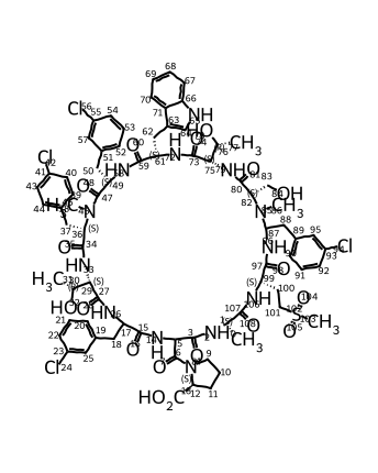 C[C@@H]1NC(=O)C(C(=O)N2CCC[C@H]2C(=O)O)NC(=O)C(Cc2cccc(Cl)c2)NC(=O)[C@H]([C@@H](C)O)NC(=O)[C@H](Cc2ccc(Cl)cc2)N(C)C(=O)[C@H](Cc2cccc(Cl)c2)NC(=O)[C@H](Cc2c[nH]c3ccccc23)NC(=O)[C@H]([C@@H](C)O)NC(=O)[C@H](CO)N(C)C(Cc2cccc(Cl)c2)NC(=O)[C@H](CCS(C)(=O)=O)NC1=O